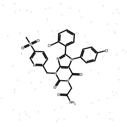 CS(=O)(=O)c1ccc(Cn2c(=O)n(CC(N)=O)c(=O)c3c2nc(-c2ccccc2Cl)n3-c2ccc(Cl)cc2)nc1